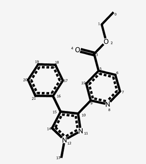 CCOC(=O)c1ccnc(-c2nn(C)cc2-c2ccccc2)c1